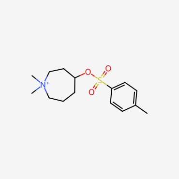 Cc1ccc(S(=O)(=O)OC2CCC[N+](C)(C)CC2)cc1